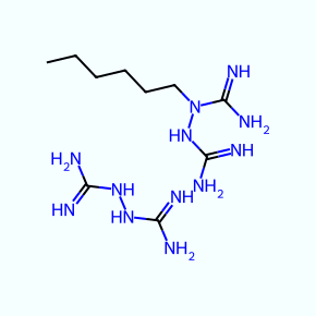 CCCCCCN(NC(=N)N)C(=N)N.N=C(N)NNC(=N)N